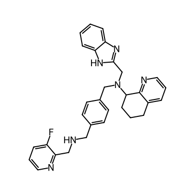 Fc1cccnc1CNCc1ccc(CN(Cc2nc3ccccc3[nH]2)C2CCCc3cccnc32)cc1